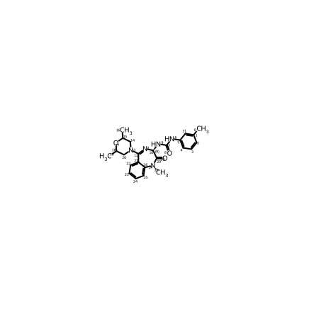 Cc1cccc(NC(=O)N[C@@H]2N=C(N3CC(C)OC(C)C3)c3ccccc3N(C)C2=O)c1